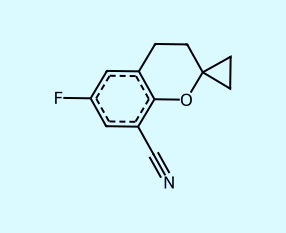 N#Cc1cc(F)cc2c1OC1(CC2)CC1